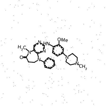 COc1cc(N2CCN(C)CC2)ccc1Nc1ncc2c(n1)N(c1ccccc1)CCC(=O)N2C